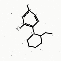 CCC1CCCCN1c1ccc(C)cc1N